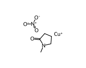 CN1CCCC1=O.O=[N+]([O-])[O-].[Cu+]